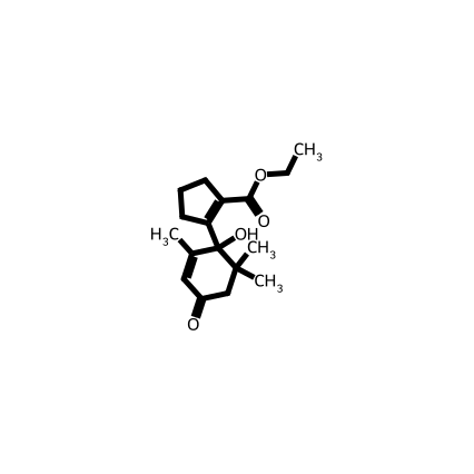 CCOC(=O)C1=C(C2(O)C(C)=CC(=O)CC2(C)C)CCC1